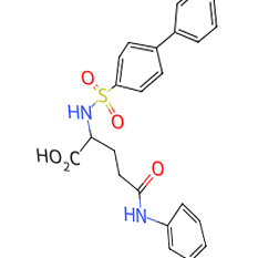 O=C(CCC(NS(=O)(=O)c1ccc(-c2ccccc2)cc1)C(=O)O)Nc1ccccc1